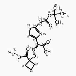 COC(=O)C1(O/N=C(\C(=O)O)c2csc(NC(=O)OC(C)(C)C)n2)CCC1